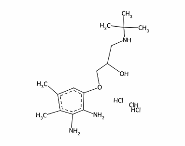 Cc1cc(OCC(O)CNC(C)(C)C)c(N)c(N)c1C.Cl.Cl.Cl